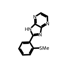 CSc1ccccc1-c1nc2nccnc2[nH]1